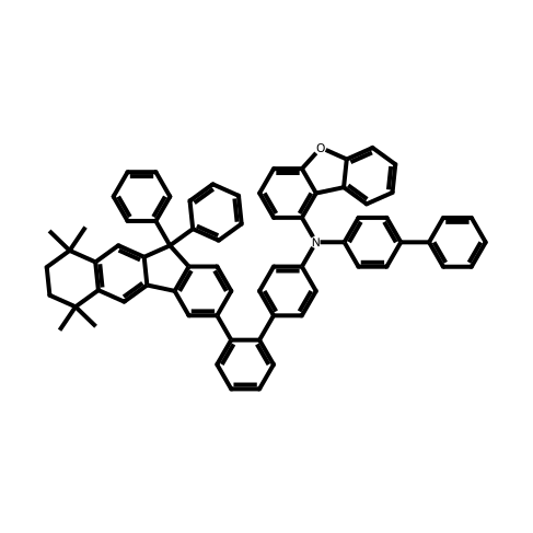 CC1(C)CCC(C)(C)c2cc3c(cc21)-c1cc(-c2ccccc2-c2ccc(N(c4ccc(-c5ccccc5)cc4)c4cccc5oc6ccccc6c45)cc2)ccc1C3(c1ccccc1)c1ccccc1